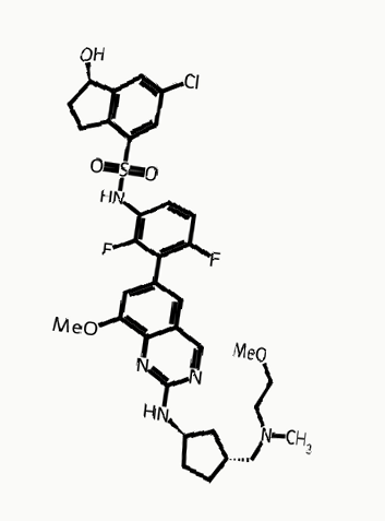 COCCN(C)C[C@@H]1CC[C@@H](Nc2ncc3cc(-c4c(F)ccc(NS(=O)(=O)c5cc(Cl)cc6c5CC[C@H]6O)c4F)cc(OC)c3n2)C1